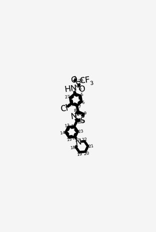 O=S(=O)(Nc1ccc(-c2csc(-c3cccc(N4CCCCC4)c3)n2)c(Cl)c1)C(F)(F)F